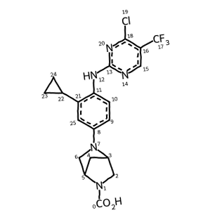 O=C(O)N1CC2CC1CN2c1ccc(Nc2ncc(C(F)(F)F)c(Cl)n2)c(C2CC2)c1